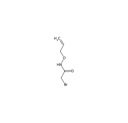 C=CCONC(=O)CBr